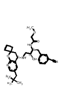 COCC(=O)N[C@@H](Cc1cccc(C#N)c1)[C@@H](O)CN[C@H]1CC2(CCC2)Oc2ncc(CC(C)(C)C)cc21